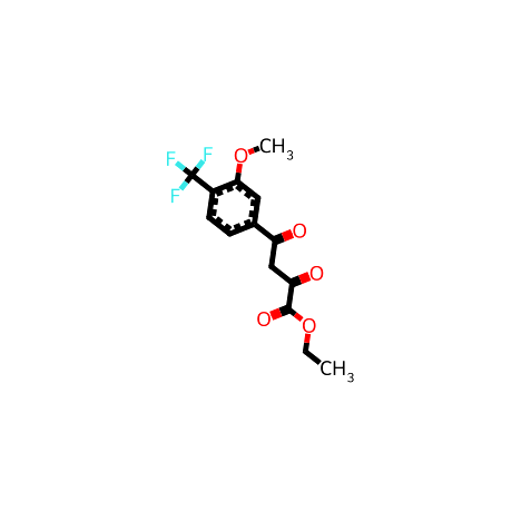 CCOC(=O)C(=O)CC(=O)c1ccc(C(F)(F)F)c(OC)c1